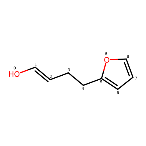 OC=CCCc1ccco1